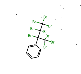 BrC(Br)(Br)C(Br)(Br)C(Br)(c1[c]cccc1)C(Br)(Br)Br